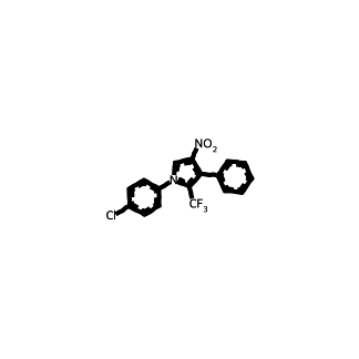 O=[N+]([O-])c1cn(-c2ccc(Cl)cc2)c(C(F)(F)F)c1-c1ccccc1